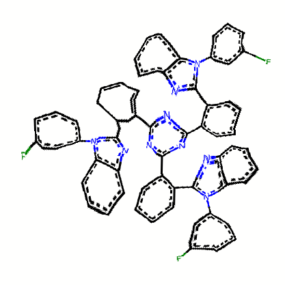 Fc1cccc(-n2c(-c3ccccc3-c3nc(C4=CC=CCC4c4nc5ccccc5n4-c4cccc(F)c4)nc(-c4ccccc4-c4nc5ccccc5n4-c4cccc(F)c4)n3)nc3ccccc32)c1